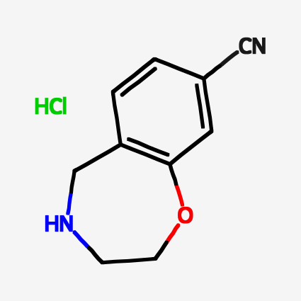 Cl.N#Cc1ccc2c(c1)OCCNC2